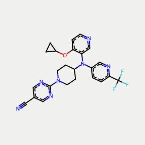 N#Cc1cnc(N2CCC(N(c3ccc(C(F)(F)F)nc3)c3cnccc3OC3CC3)CC2)nc1